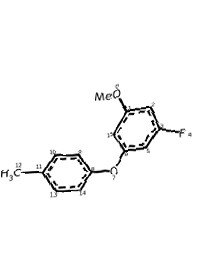 COc1cc(F)cc(Oc2ccc(C)cc2)c1